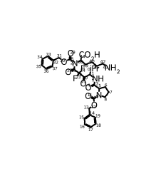 CC(C)C(NC(=O)C1CCCN1C(=O)OCc1ccccc1)C(=O)C(F)(F)C(=O)N(C(=O)OCc1ccccc1)C(CCCCN)C(=O)O